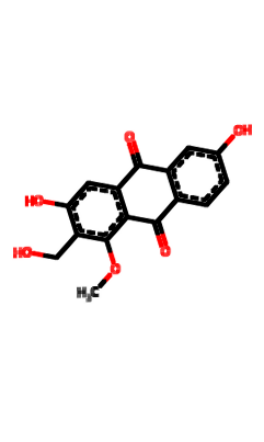 COc1c(CO)c(O)cc2c1C(=O)c1ccc(O)cc1C2=O